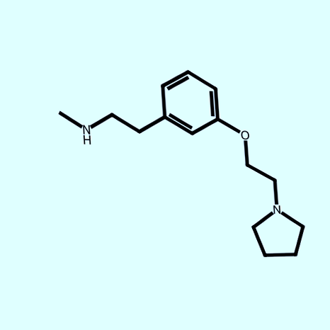 CNCCc1cccc(OCCN2CCCC2)c1